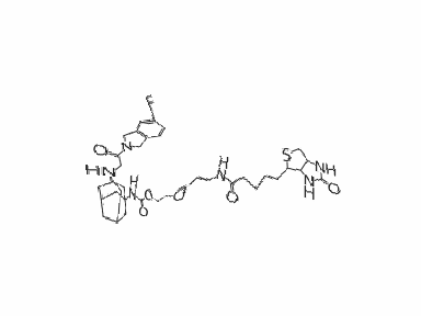 O=C(CCCCC1SCC2NC(=O)NC21)NCCOCCOC(=O)NC12CC3CC(CC(NCC(=O)N4Cc5ccc(F)cc5C4)(C3)C1)C2